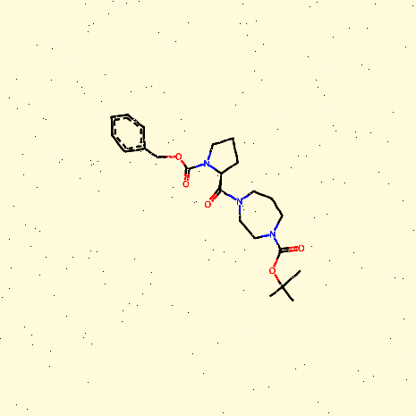 CC(C)(C)OC(=O)N1CCCN(C(=O)[C@@H]2CCCN2C(=O)OCc2ccccc2)CC1